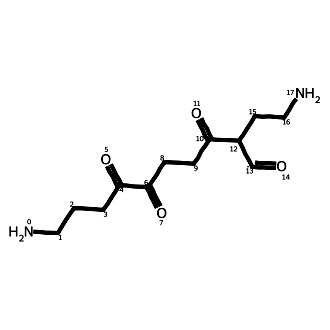 NCCCC(=O)C(=O)CCC(=O)C([C]=O)CCN